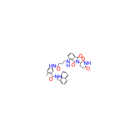 Cc1ccc(NC(=O)CCCNc2cccc3c2C(=O)N(C2CCC(=O)NC2=O)C3=O)cc1C(=O)N[C@@H](C)c1cccc2ccccc12